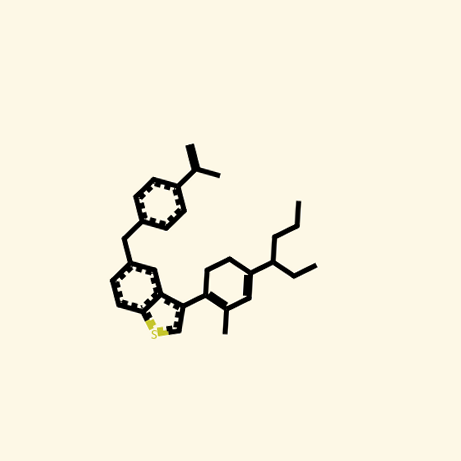 C=C(C)c1ccc(Cc2ccc3scc(C4=C(C)C=C(C(CC)CCC)CC4)c3c2)cc1